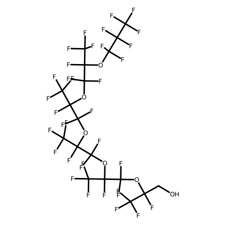 OCC(F)(OC(F)(F)C(F)(OC(F)(F)C(F)(OC(F)(F)C(F)(OC(F)(F)C(F)(OC(F)(F)C(F)(F)C(F)(F)F)C(F)(F)F)C(F)(F)F)C(F)(F)F)C(F)(F)F)C(F)(F)F